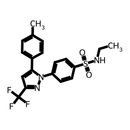 CCNS(=O)(=O)c1ccc(-n2nc(C(F)(F)F)cc2-c2ccc(C)cc2)cc1